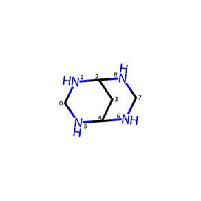 C1NC2CC(N1)NCN2